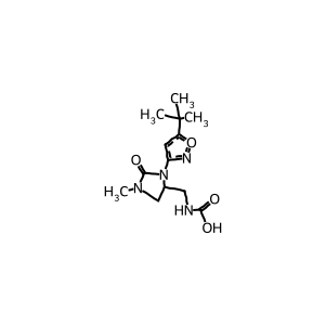 CN1CC(CNC(=O)O)N(c2cc(C(C)(C)C)on2)C1=O